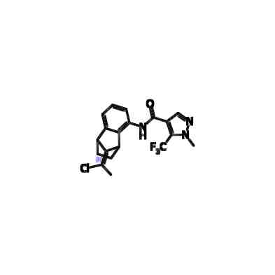 C/C(Cl)=C1/C2CCC1c1c(NC(=O)c3cnn(C)c3C(F)(F)F)cccc12